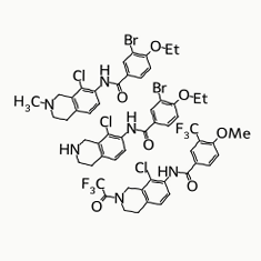 CCOc1ccc(C(=O)Nc2ccc3c(c2Cl)CN(C)CC3)cc1Br.CCOc1ccc(C(=O)Nc2ccc3c(c2Cl)CNCC3)cc1Br.COc1ccc(C(=O)Nc2ccc3c(c2Cl)CN(C(=O)C(F)(F)F)CC3)cc1C(F)(F)F